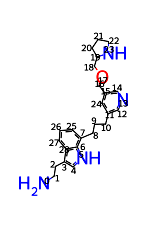 NCCc1c[nH]c2c(CCCc3cncc(COCC4CCCN4)c3)cccc12